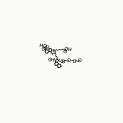 COCCOCCOCCOCCC1(C)C(/C=C/C=C2/N(CCCCCC(=O)O)c3ccc4c(S(=O)(=O)O)cccc4c3C2(C)C)=[N+](CCOC)c2ccc3ccccc3c21